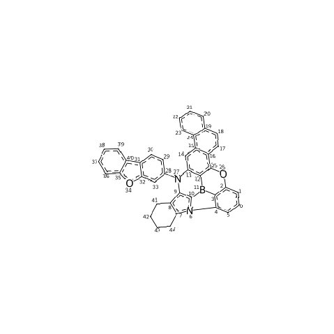 c1cc2c3c(c1)-n1c4c(c5c1B3c1c(cc3c(ccc6ccccc63)c1O2)N5c1ccc2c(c1)oc1ccccc12)CCCC4